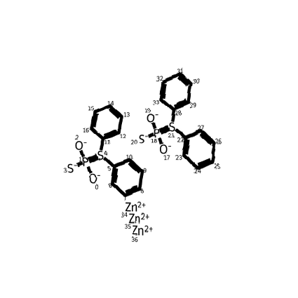 [O-]P([O-])([S-])=S(c1ccccc1)c1ccccc1.[O-]P([O-])([S-])=S(c1ccccc1)c1ccccc1.[Zn+2].[Zn+2].[Zn+2]